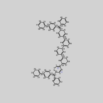 C/C=C(\C=C/C(C)N(c1ccccc1)c1ccc(C2=CCCC=C2)cc1)C1=CCCC(C2=CC(c3cccc(C4=CCC(N(c5ccccc5)c5ccc(-c6ccccc6)cc5)C=C4)c3)CC=C2)=C1